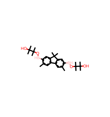 Cc1cc2c(cc1BOC(C)(C)C(C)(C)O)C(C)(C)c1cc(BOC(C)(C)C(C)(C)O)c(C)cc1-2